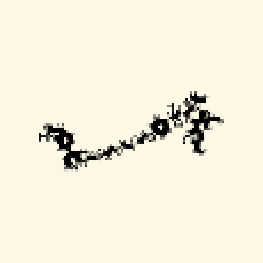 C=C(/C=C\C(Cl)=C/C)C1=N[C@@H](CC(=O)Nc2ccc(OCCOCCOCCOCCNc3cc(-c4ccc5c(c4)NC(=O)C5)ccn3)cc2)c2nnc(C)n2-c2sc(C)c(C)c21